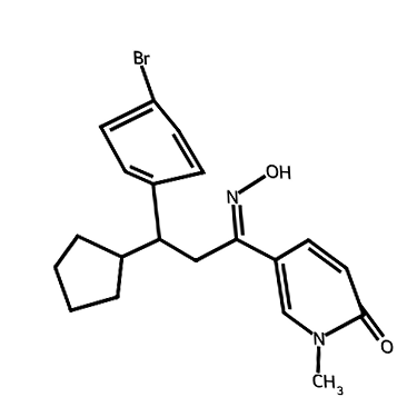 Cn1cc(/C(CC(c2ccc(Br)cc2)C2CCCC2)=N\O)ccc1=O